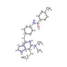 Cc1ccc(C(=O)Nc2ccc(Cc3nc(N(C)C)c(C[13C](=O)O)c4nccn34)cc2)cc1